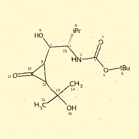 CC(C)[C@H](NC(=O)OC(C)(C)C)C(O)C1C(=O)C1C(C)(C)O